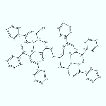 O=C(OC1C(F)OC(COC2OC(CO)C(OC(=O)c3ccccc3)C(OC(=O)c3ccccc3)C2OC(=O)c2ccccc2)C(OC(=O)c2ccccc2)C1OC(=O)c1ccccc1)c1ccccc1